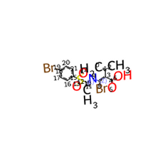 C=C(C)/C(C(=O)O)=C(Br)\N=C(/C)S(=O)(=O)c1ccc(Br)cc1